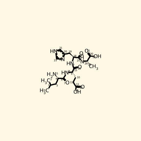 CC(C)C[C@H](N)C(=O)N[C@@H](CCC(=O)O)C(=O)N[C@@H](Cc1c[nH]cn1)C(=O)N[C@@H](C)C(=O)O